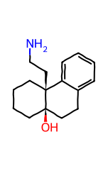 NCC[C@]12CCCC[C@@]1(O)CCc1ccccc12